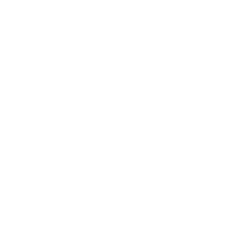 Cc1ccc(C[Si](Cl)(Cl)Cl)c(Cl)c1Cl